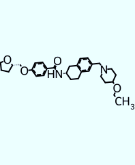 CCOC1CCN(Cc2ccc3c(c2)CC[C@H](NC(=O)c2ccc(OC[C@@H]4CCCO4)cc2)C3)CC1